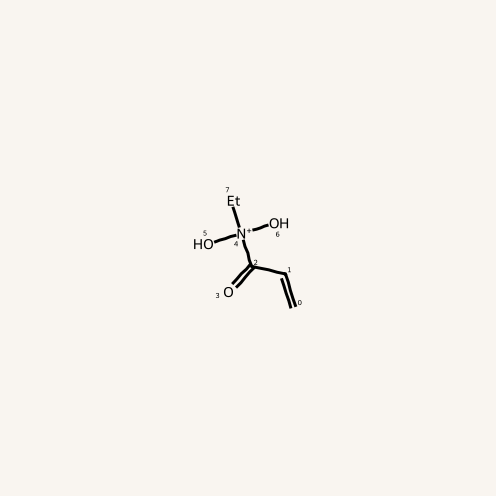 C=CC(=O)[N+](O)(O)CC